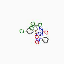 CN(C(=O)Nc1ccccc1[N+](=O)[O-])C(Sc1ccc(Cl)cc1)C(Cl)(Cl)Cl